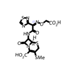 CSC1=C(C(=O)O)N2C(=O)C(NC(=O)/C(=N\OCC(=O)O)c3ncsn3)[C@H]2SC1